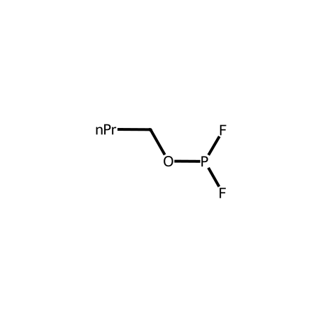 CCCCOP(F)F